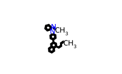 C/C=C\C=C/c1cc(-c2ccc(-n3c(C)nc4ccccc43)cc2)cc2ccccc12